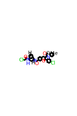 COC(=O)c1c(Cc2ccc(C(=O)N3[C@@H]4CC[C@@]5(NC(=O)CCl)CC6C[C@@H](C5)C[C@@]643)cc2)c(=O)c2ccc(Cl)cc2n1-c1ccccc1